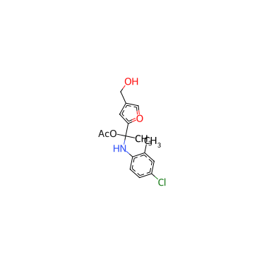 CC(=O)OC(C)(Nc1ccc(Cl)cc1C)c1cc(CO)co1